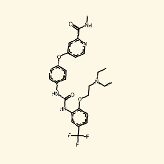 CCN(CC)CCOc1ccc(C(F)(F)F)cc1NC(=O)Nc1ccc(Oc2ccnc(C(=O)NC)c2)cc1